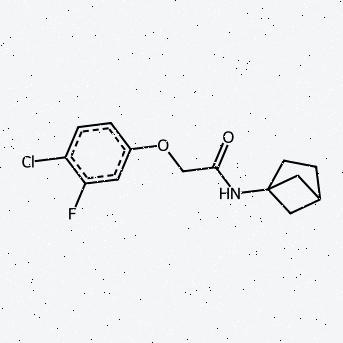 O=C(COc1ccc(Cl)c(F)c1)NC12CCC(C1)C2